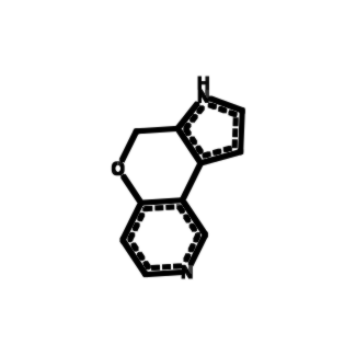 c1cc2c(cn1)-c1cc[nH]c1CO2